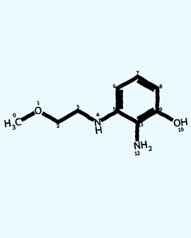 COCCNc1cccc(O)c1N